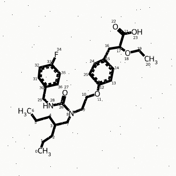 CCCC(CCC)CN(CCOc1ccc(CC(OCC)C(=O)O)cc1)C(=O)NCc1ccc(F)cc1